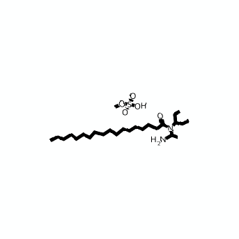 CCCCCCCCCCCCCCCCCC(=O)N(C(C)N)C(CC)CC.COS(=O)(=O)O